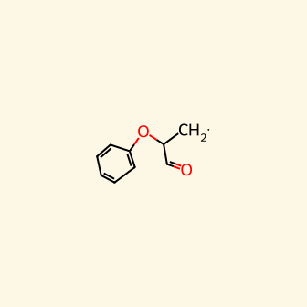 [CH2]C(C=O)Oc1ccccc1